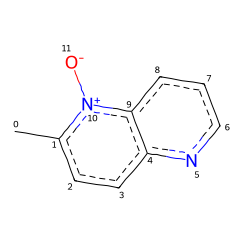 Cc1ccc2ncccc2[n+]1[O-]